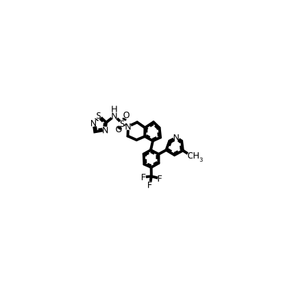 Cc1cncc(-c2cc(C(F)(F)F)ccc2-c2cccc3c2CCN(S(=O)(=O)Nc2ncns2)C3)c1